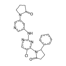 O=C1CCCN1c1cncc(Nc2ncc(Cl)c(N3C(=O)CCC3c3ccccc3)n2)c1